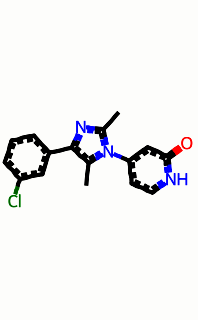 Cc1nc(-c2cccc(Cl)c2)c(C)n1-c1cc[nH]c(=O)c1